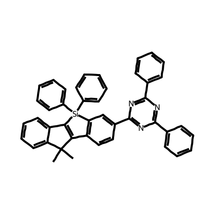 CC1(C)C2=C(c3ccccc31)[Si](c1ccccc1)(c1ccccc1)c1cc(-c3nc(-c4ccccc4)nc(-c4ccccc4)n3)ccc12